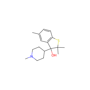 Cc1ccc2c(c1)C(O)(C1CCN(C)CC1)C(C)(C)S2